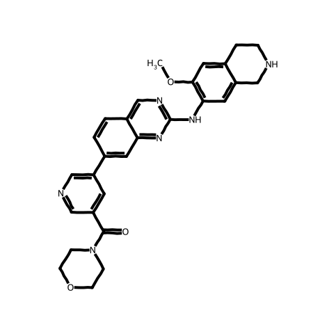 COc1cc2c(cc1Nc1ncc3ccc(-c4cncc(C(=O)N5CCOCC5)c4)cc3n1)CNCC2